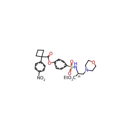 CCOC(=O)[C@H](CN1CCOCC1)NS(=O)(=O)c1ccc(OC(=O)C2(c3ccc([N+](=O)[O-])cc3)CCC2)cc1